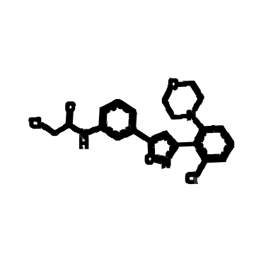 O=C(CCl)Nc1cccc(-c2cc(-c3c(Cl)cccc3N3CCOCC3)no2)c1